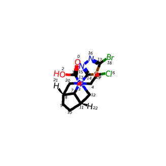 O=C(O)N(CCCl)C1[C@@H]2CC[C@H]1CN(c1nnc(Br)s1)C2